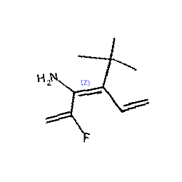 C=C/C(=C(/N)C(=C)F)C(C)(C)C